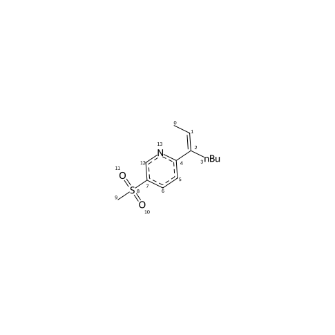 C/C=C(/CCCC)c1ccc(S(C)(=O)=O)cn1